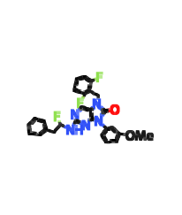 COc1cccc(-n2c(=O)n(Cc3c(F)cccc3F)c3cnc(NC(F)Cc4ccccc4)nc32)c1